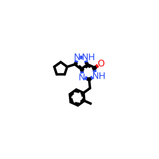 Cc1ccccc1Cc1nc2c(C3CCCC3)n[nH]c2c(=O)[nH]1